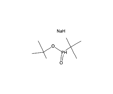 CC(C)(C)O[PH](=O)C(C)(C)C.[NaH]